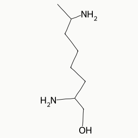 CC(N)CCCCC(N)CO